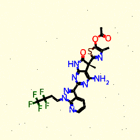 CC(=O)Oc1sc([C@@]2(C)C(=O)Nc3nc(-c4nn(CCC(F)(F)C(F)(F)F)c5ncccc45)nc(N)c32)nc1C